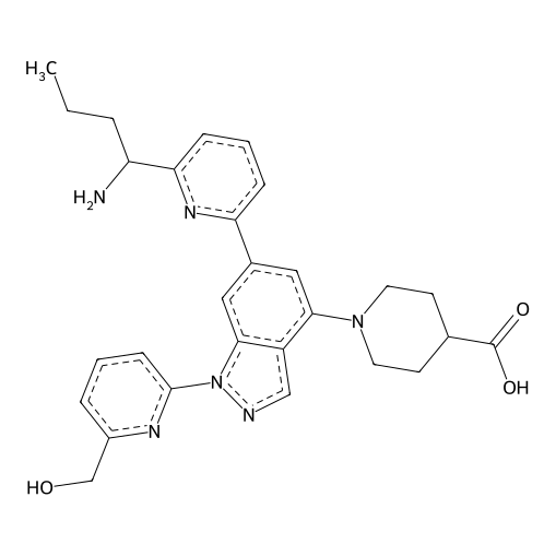 CCCC(N)c1cccc(-c2cc(N3CCC(C(=O)O)CC3)c3cnn(-c4cccc(CO)n4)c3c2)n1